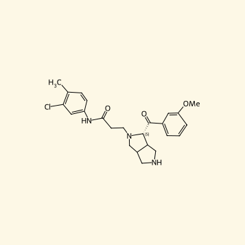 COc1cccc(C(=O)[C@@H]2C3CNCC3CN2CCC(=O)Nc2ccc(C)c(Cl)c2)c1